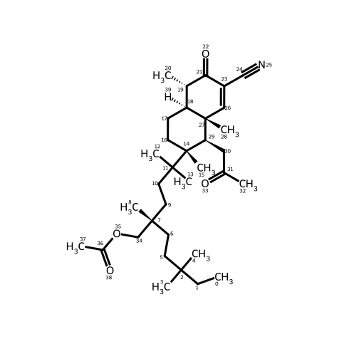 CCC(C)(C)CC[C@@](C)(CCC(C)(C)[C@]1(C)CC[C@H]2[C@H](C)C(=O)C(C#N)=C[C@]2(C)[C@H]1CC(C)=O)COC(C)=O